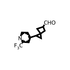 O=CC1CC2(C1)CC2c1ccnc(C(F)(F)F)c1